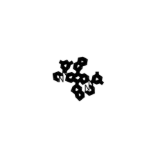 Cc1cc(C)cc(N(c2ccc3c(-c4ccc5ccccc5c4)c4cc(N(c5cc(C)cc(C)c5)c5ccccn5)ccc4c(-c4ccc5ccccc5c4)c3c2)c2ccccn2)c1